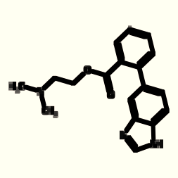 CN(C)CCOC(=O)c1c[c]ccc1-c1ccc2[nH]cnc2c1